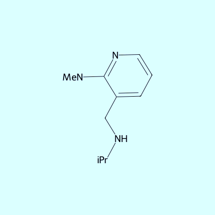 CNc1ncccc1CNC(C)C